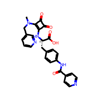 CN(Cc1cccnc1)c1c(N[C@@H](Cc2ccc(NC(=O)c3ccncc3)cc2)C(=O)O)c(=O)c1=O